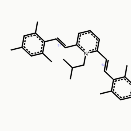 Cc1cc(C)c(/C=C/c2cccc(/C=C/c3c(C)cc(C)cc3C)[n+]2CC(C)C)c(C)c1